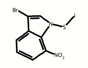 O=[N+]([O-])c1cccc2c(Br)cn(SI)c12